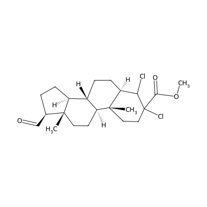 COC(=O)C1(Cl)CC[C@@]2(C)[C@@H](CC[C@@H]3[C@@H]2CC[C@]2(C)[C@@H](C=O)CC[C@@H]32)C1Cl